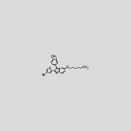 CCCCCCOc1ccc2nc(-c3cc(Br)cs3)n(-c3ccc(C)cc3)c2c1